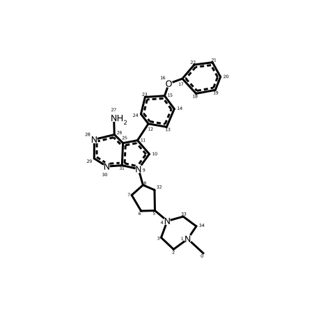 CN1CCN(C2CCC(n3cc(-c4ccc(Oc5ccccc5)cc4)c4c(N)ncnc43)C2)CC1